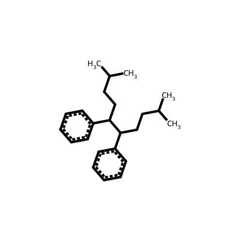 CC(C)CCC(c1ccccc1)C(CCC(C)C)c1ccccc1